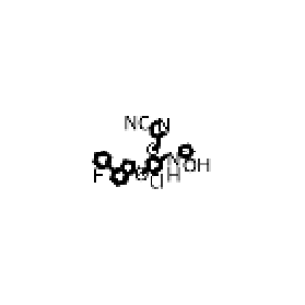 N#Cc1cncc(COc2cc(O[C@H]3CCc4c(-c5ccccc5F)cccc43)c(Cl)cc2CN[C@H]2CCC[C@@H]2O)c1